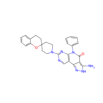 Nc1[nH]nc2c1c(=O)n(-c1ccccc1)c1nc(N3CCC4(CCc5ccccc5O4)CC3)ncc21